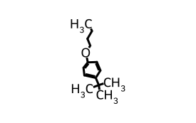 CCCCOc1ccc(C(C)(C)C)cc1